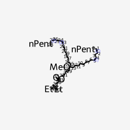 CCCCC/C=C\C/C=C\CCCCCCCCC(CCCCCCCC/C=C\C/C=C\CCCCC)(CCCCOC(=O)CCN(CC)CC)OC